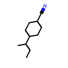 CCC(C)C1CCC(C#N)CC1